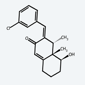 C[C@H]1C(=Cc2cccc(Cl)c2)C(=O)C=C2CCC[C@H](O)[C@]21C